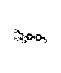 CNC(=O)N(CCC=O)c1ccc(N2CCC(C=O)CC2)cc1F